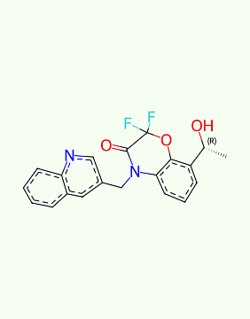 C[C@@H](O)c1cccc2c1OC(F)(F)C(=O)N2Cc1cnc2ccccc2c1